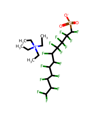 CC[N+](CC)(CC)CC.O=S(=O)([O-])C(F)C(F)(F)C(F)(F)C(F)(F)C(F)C(F)C(F)C(F)C(F)C(F)C(F)F